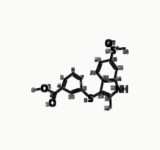 COC(=O)c1cccc(Sc2c(C)[nH]c3cc([S+](C)[O-])ccc23)c1